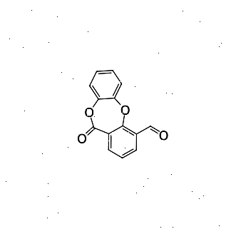 O=Cc1cccc2c1Oc1ccccc1OC2=O